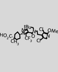 COc1ncc(Cl)c(CCN(CC(C)(C)C)C(=O)c2cnn([C@H]3CC[C@](C)(C(=O)O)CC3)c2C(F)(F)F)c1Cl